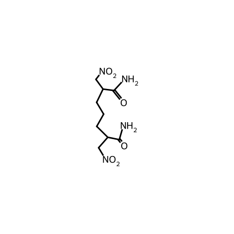 NC(=O)C(CCCC(C[N+](=O)[O-])C(N)=O)C[N+](=O)[O-]